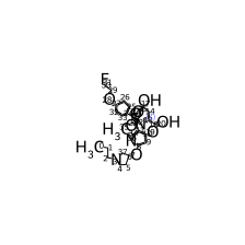 CCCN1CCC(Oc2ccc(N(/C(=C\C(=O)O)C(=O)O)S(=O)(=O)c3ccc(OCCF)cc3)c(C)n2)C1